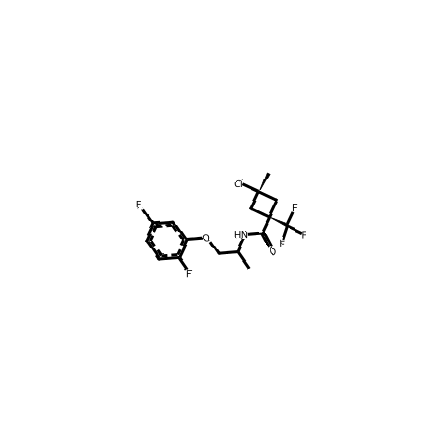 CC(COc1cc(F)ccc1F)NC(=O)[C@]1(C(F)(F)F)C[C@](C)(Cl)C1